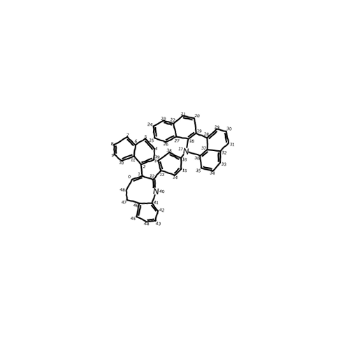 C1=C(c2cccc3ccccc23)\C(c2ccc(N3c4c(ccc5ccccc45)-c4cccc5cccc3c45)cc2)=N/c2ccccc2CC/1